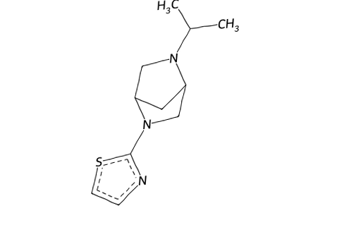 CC(C)N1CC2CC1CN2c1nccs1